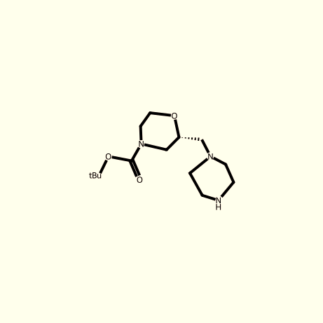 CC(C)(C)OC(=O)N1CCO[C@H](CN2CCNCC2)C1